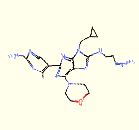 Cc1nc(N)ncc1-c1nc(N2CCOCC2)c2nc(NCCN)n(CC3CC3)c2n1